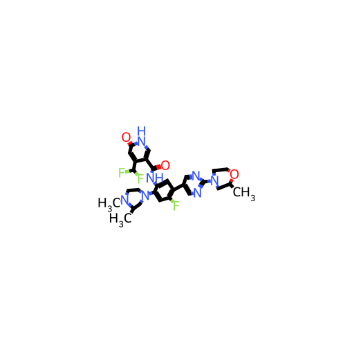 CC1CN(c2ncc(-c3cc(NC(=O)c4c[nH]c(=O)cc4C(F)F)c(N4CCN(C)C(C)C4)cc3F)cn2)CCO1